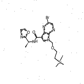 C[C@H](NC(=O)c1cn(COCC[Si](C)(C)C)c2ncc(Br)nc12)c1ncco1